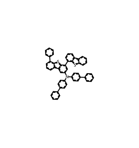 c1ccc(-c2ccc(N(c3ccc(-c4ccccc4)cc3)c3cc(-c4cccc5c4sc4ccccc45)c4sc5c(-c6ccccc6)cccc5c4c3)cc2)cc1